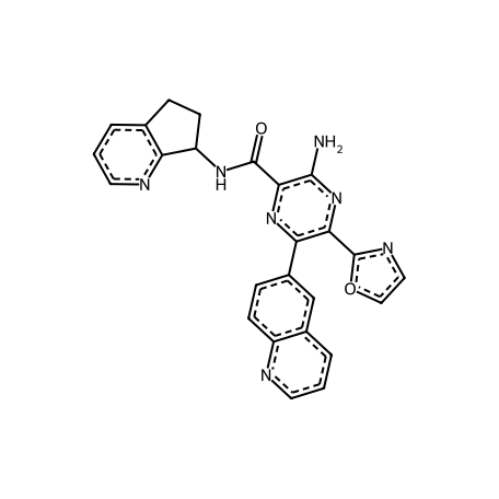 Nc1nc(-c2ncco2)c(-c2ccc3ncccc3c2)nc1C(=O)NC1CCc2cccnc21